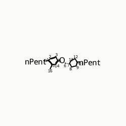 CCCCCc1ccc(OC[C@H]2CC[C@H](CCCCC)CC2)cc1C